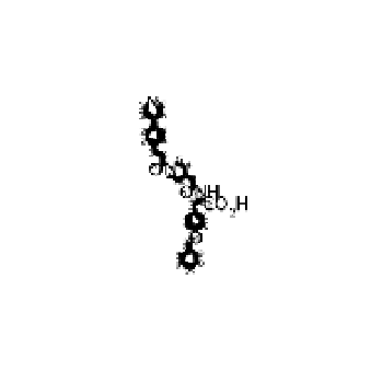 O=C(CC1CCN(C(=O)CCc2ccc(-c3ccncc3)cc2)CC1)NC(Cc1ccc(OCc2ccccc2)cc1)C(=O)O